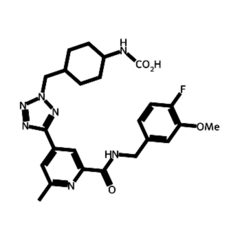 COc1cc(CNC(=O)c2cc(-c3nnn(CC4CCC(NC(=O)O)CC4)n3)cc(C)n2)ccc1F